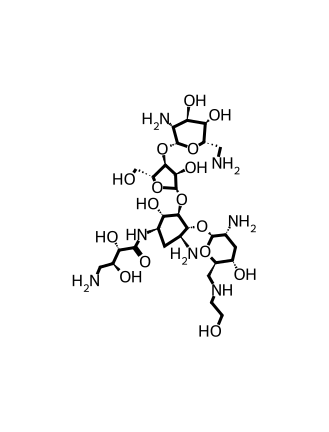 NC[C@@H]1O[C@H](O[C@H]2[C@@H](O)[C@H](O[C@@H]3[C@@H](O)[C@H](NC(=O)[C@@H](O)[C@@H](O)CN)C[C@H](N)[C@H]3O[C@H]3O[C@H](CNCCO)[C@@H](O)C[C@H]3N)O[C@@H]2CO)[C@H](N)[C@@H](O)[C@@H]1O